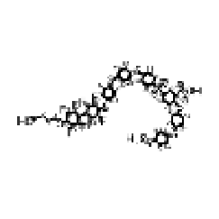 C#CCCCOc1c(F)c(F)c(-c2c(F)c(F)c(Sc3ccc(Sc4ccc(Sc5ccc(S(=O)(=O)c6ccc(Sc7ccc(Sc8ccc(SC)cc8)cc7)c(S(=O)(=O)O)c6)cc5)cc4)cc3)c(F)c2F)c(F)c1F